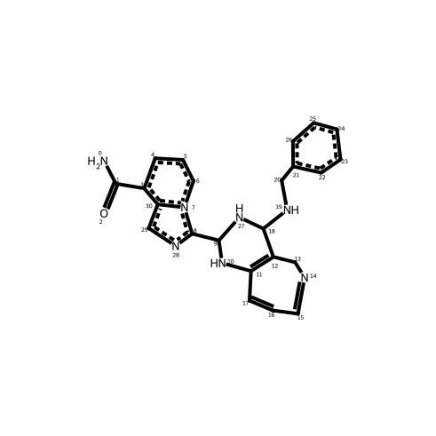 NC(=O)c1cccn2c(C3NC4=C(CN=CC=C4)C(NCc4ccccc4)N3)ncc12